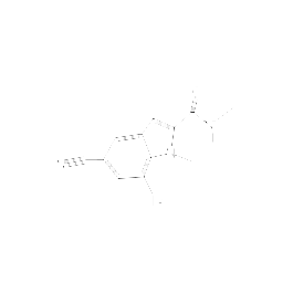 CNC(=O)c1cc2cc(C#N)cc(Br)c2n1C